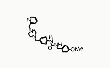 COc1ccc(CNC(=O)Nc2ccc(CN3CCN(Cc4ccccn4)CC3)cc2)cc1